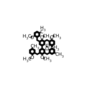 COc1ccc(C)cc1Cc1cc(-c2cc(Cc3cc(C)ccc3OC)c(OC)c(Cc3cc(C)ccc3OC)c2)cc(Cc2cc(C)ccc2OC)c1OC